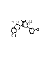 O=C(O)/C=C/C(=O)O.Oc1ccc2c(c1)CC(NCC(O)c1cccc(Cl)c1)CC2